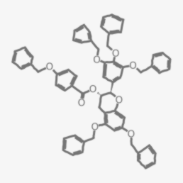 O=C(O[C@H]1Cc2c(OCc3ccccc3)cc(OCc3ccccc3)cc2O[C@@H]1c1cc(OCc2ccccc2)c(OCc2ccccc2)c(OCc2ccccc2)c1)c1ccc(OCc2ccccc2)cc1